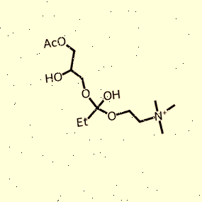 CCC(O)(OCC[N+](C)(C)C)OCC(O)COC(C)=O